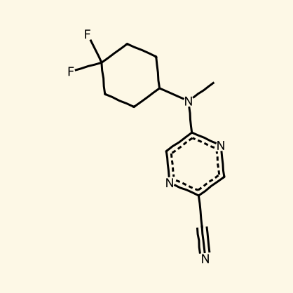 CN(c1cnc(C#N)cn1)C1CCC(F)(F)CC1